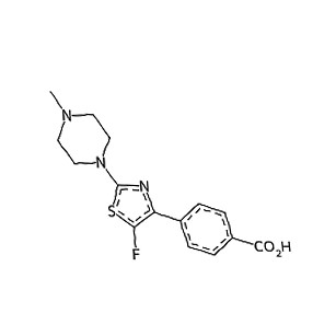 CN1CCN(c2nc(-c3ccc(C(=O)O)cc3)c(F)s2)CC1